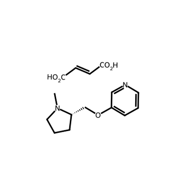 CN1CCC[C@H]1COc1cccnc1.O=C(O)C=CC(=O)O